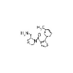 Cc1cccc(-c2sccc2C(=O)N2CCSC2CN)c1